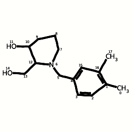 Cc1ccc(CN2CCCC(O)C2CO)cc1C